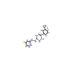 FC(F)(F)c1cccc(C2=CCN(CCc3ccccn3)CC2)c1